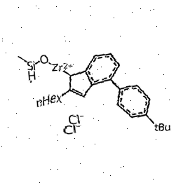 CCCCCCC1=Cc2c(-c3ccc(C(C)(C)C)cc3)cccc2[CH]1[Zr+2][O][SiH](C)C.[Cl-].[Cl-]